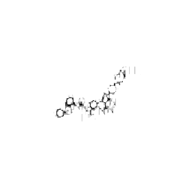 CN1CCN(C2CCC(n3cc(-c4ccc(NC(=O)Nc5ccccc5Oc5ccccc5)c(F)c4)c4c(N)ncnc43)CC2)CC1